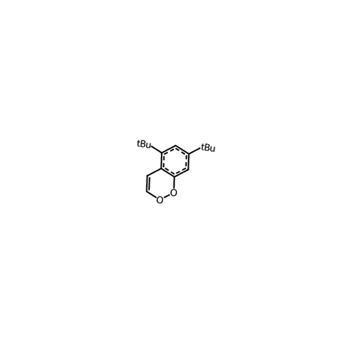 CC(C)(C)c1cc2c(c(C(C)(C)C)c1)C=COO2